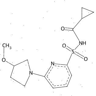 COC1CCN(c2cccc(S(=O)(=O)NC(=O)C3CC3)n2)C1